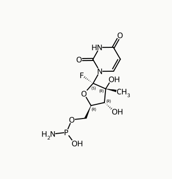 C[C@@]1(O)[C@H](O)[C@@H](COP(N)O)O[C@@]1(F)n1ccc(=O)[nH]c1=O